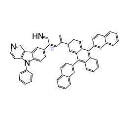 C=C(/C=C(\C=N)c1ccc2c(c1)c1cnccc1n2-c1ccccc1)C1C=c2c(-c3ccc4ccccc4c3)c3ccccc3c(-c3ccc4ccccc4c3)c2=CC1